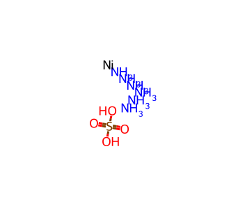 N.N.N.N.N.N.O=S(=O)(O)O.[Ni]